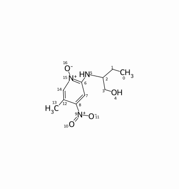 CCC(CO)Nc1cc([N+](=O)[O-])c(C)c[n+]1[O-]